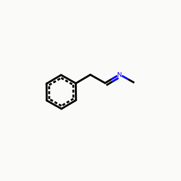 CN=CCc1ccccc1